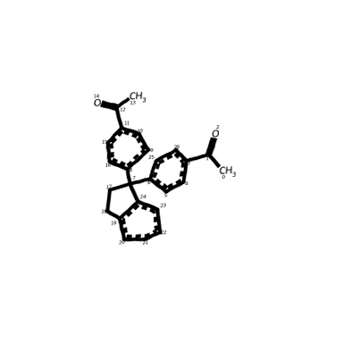 CC(=O)c1ccc(C2(c3ccc(C(C)=O)cc3)CCc3ccccc32)cc1